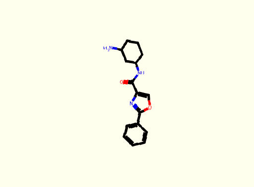 NC1CCCC(NC(=O)c2coc(-c3ccccc3)n2)C1